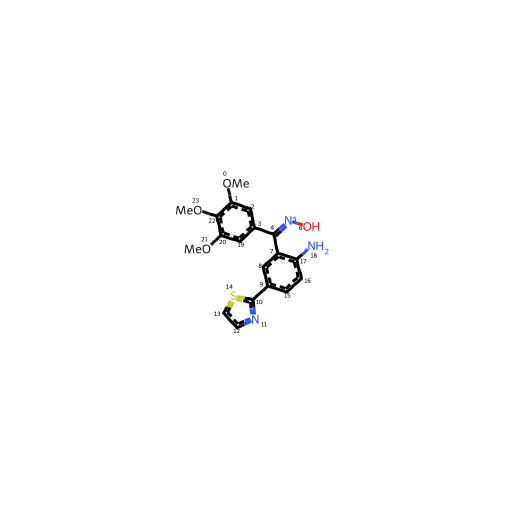 COc1cc(C(=NO)c2cc(-c3nccs3)ccc2N)cc(OC)c1OC